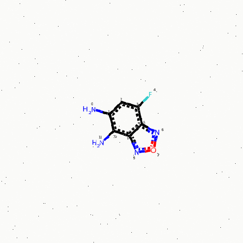 Nc1cc(F)c2nonc2c1N